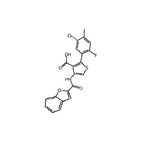 Cc1cc(F)c(-c2scc(NC(=O)c3cc4ccccc4o3)c2C(=O)O)cc1Cl